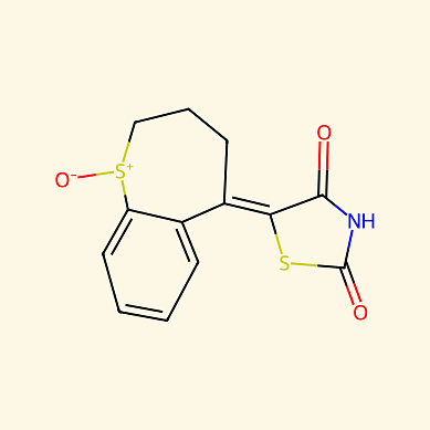 O=C1NC(=O)C(=C2CCC[S+]([O-])c3ccccc32)S1